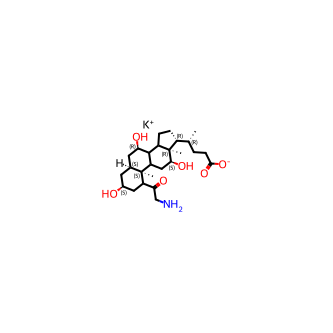 C[C@H](CCC(=O)[O-])[C@H]1CCC2C3C(C[C@H](O)[C@@]21C)[C@@]1(C)C(C(=O)CN)C[C@@H](O)C[C@H]1C[C@H]3O.[K+]